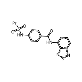 CC(C)S(=O)(=O)Nc1ccc(C(=O)Nc2cccc3nsnc23)cc1